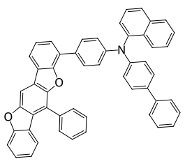 c1ccc(-c2ccc(N(c3ccc(-c4cccc5c4oc4c(-c6ccccc6)c6c(cc45)oc4ccccc46)cc3)c3cccc4ccccc34)cc2)cc1